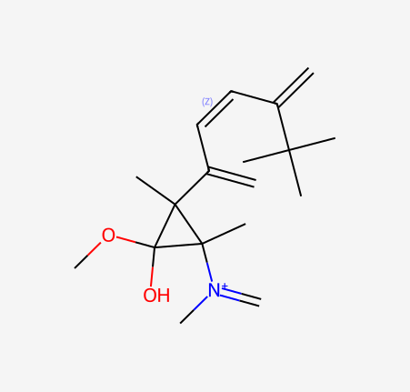 C=C(/C=C\C(=C)C1(C)C(O)(OC)C1(C)[N+](=C)C)C(C)(C)C